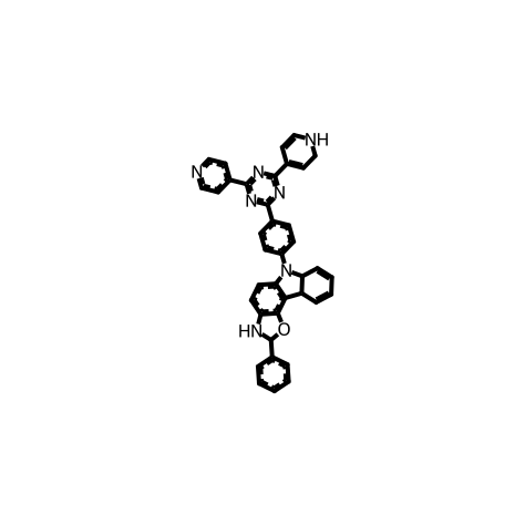 C1=CC2c3c(ccc4c3OC(c3ccccc3)N4)N(c3ccc(-c4nc(C5=CCNC=C5)nc(-c5ccncc5)n4)cc3)C2C=C1